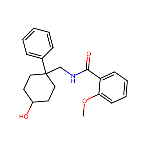 COc1ccccc1C(=O)NCC1(c2ccccc2)CCC(O)CC1